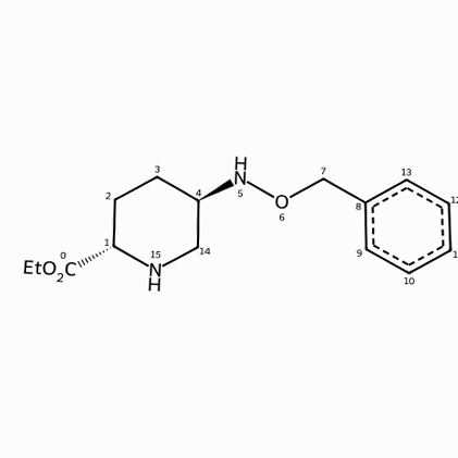 CCOC(=O)[C@@H]1CC[C@@H](NOCc2ccccc2)CN1